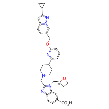 O=C(O)c1ccc2nc(CN3CCC(c4cccc(OCc5ccc6cc(C7CC7)nn6c5)n4)CC3)n(C[C@@H]3CCO3)c2c1